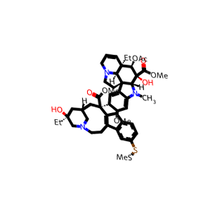 CC[C@]1(O)C[C@H]2CN(CCC3=C(Cc4ccc(SSC)cc43)[C@@](C(=O)OC)(C3C=C4C(=CC3OC)N(C)[C@H]3[C@@](O)(C(=O)OC)[C@H](OC(C)=O)[C@]5(CC)C=CCN6CC[C@]43[C@@H]65)C2)C1